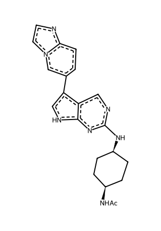 CC(=O)N[C@H]1CC[C@@H](Nc2ncc3c(-c4ccc5nccn5c4)c[nH]c3n2)CC1